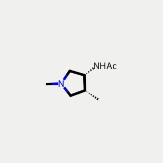 CC(=O)N[C@H]1CN(C)C[C@H]1C